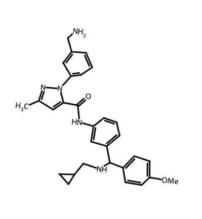 COc1ccc(C(NCC2CC2)c2cccc(NC(=O)c3cc(C)nn3-c3cccc(CN)c3)c2)cc1